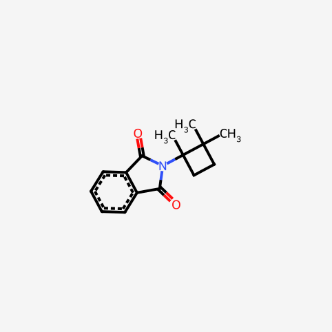 CC1(C)CCC1(C)N1C(=O)c2ccccc2C1=O